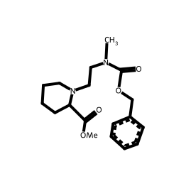 COC(=O)C1CCCCN1CCN(C)C(=O)OCc1ccccc1